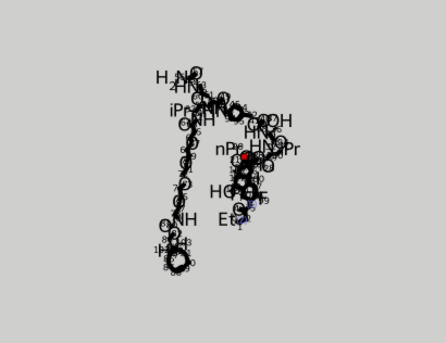 CC/C=C\C(=O)/C=C1\C[C@@]2(F)[C@@H](O)C[C@@]3(C)[C@@H](C[C@H]4OC(CCC)O[C@]43C(=O)COC(=O)[C@H](CC(C)C)NC(=O)[C@H](CO)NC(=O)OCc3ccc(NC(=O)[C@H](CCCNC(N)=O)NC(=O)[C@@H](NC(=O)CCOCCOCCOCCOCCNC(=O)OC[C@@H]4[C@@H]5CCC#CCC[C@@H]54)C(C)C)cc3)[C@@H]2C[C@@H]1F